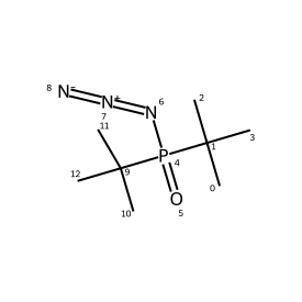 CC(C)(C)P(=O)(N=[N+]=[N-])C(C)(C)C